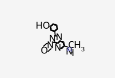 C/C(=N\I)c1cnc2c(N3CCOCC3)nc(-c3cccc(O)c3)nc2c1